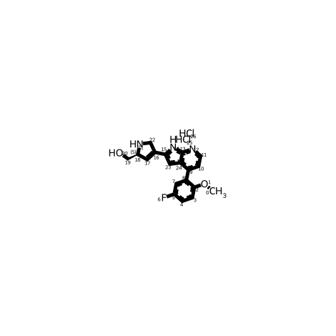 COc1ccc(F)cc1-c1ccnc2[nH]c(C3=C[C@@H](CO)NC3)cc12.Cl.Cl